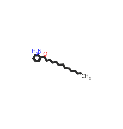 CCCCCCCCCCCCCC(=O)c1ccccc1N